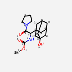 CC(C)(C)OC(=O)N[C@H](C(=O)N1CCCC1)C12CC3CC(CC(O)(C3)C1)C2